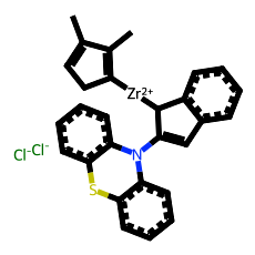 CC1=CC[C]([Zr+2][CH]2C(N3c4ccccc4Sc4ccccc43)=Cc3ccccc32)=C1C.[Cl-].[Cl-]